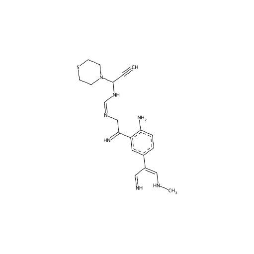 C#CC(N/C=N\CC(=N)c1cc(/C(C=N)=C/NC)ccc1N)N1CCSCC1